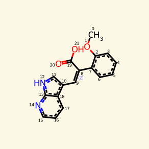 COc1ccccc1/C(=C/c1c[nH]c2ncccc12)C(=O)O